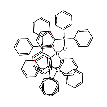 c1ccc([Si]([O][Ti]([O][Si](c2ccccc2)(c2ccccc2)c2ccccc2)([O][Si](c2ccccc2)(c2ccccc2)c2ccccc2)[O][Si](c2ccccc2)(c2ccccc2)c2ccccc2)(c2ccccc2)c2ccccc2)cc1